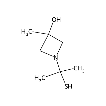 CC1(O)CN(C(C)(C)S)C1